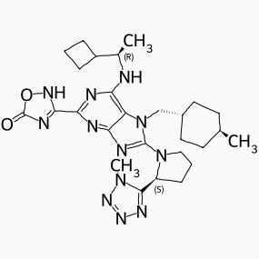 C[C@@H](Nc1nc(-c2nc(=O)o[nH]2)nc2nc(N3CCC[C@H]3c3nnnn3C)n(C[C@H]3CC[C@H](C)CC3)c12)C1CCC1